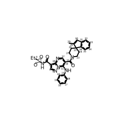 CCS(=O)(=O)NC(=O)c1cnn2c(Nc3ccccc3)c(C(=O)N3CCC4(CC3)C(C)=Cc3ccccc34)cnc12